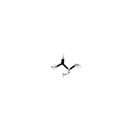 NNC(N)=S.[Zn+2]